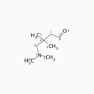 CN(C)CC(C)(C)CC=O